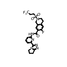 O=C(Nc1cccc(-c2nnc3n2CCC3)n1)c1cc2c(cc1F)CCN(S(=O)(=O)CCC(F)(F)F)C2